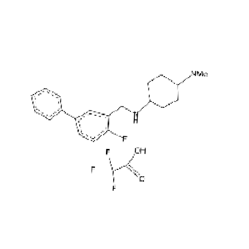 CNC1CCC(NCc2cc(-c3ccccc3)ccc2F)CC1.O=C(O)C(F)(F)F